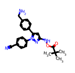 CC(C)(C)C(=O)ONc1cc(-c2ccc(CN)cc2)n(-c2ccc(C#N)cc2)n1